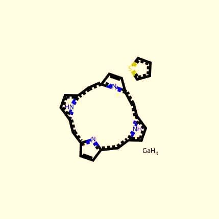 C1=Cc2cc3ccc(cc4nc(cc5ccc(cc1n2)[nH]5)C=C4)[nH]3.[GaH3].c1ccsc1